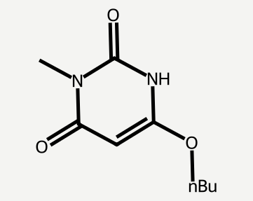 CCCCOc1cc(=O)n(C)c(=O)[nH]1